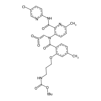 Cc1ccc(C(=O)N(C=S(=O)=O)c2ccc(C)nc2C(=O)Nc2ccc(Cl)cn2)c(OCCCNC(=O)OC(C)(C)C)c1